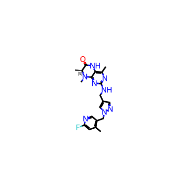 Cc1cc(F)ncc1Cn1cc(CNc2nc(C)c3c(n2)N(C)[C@@H](C)C(=O)N3)cn1